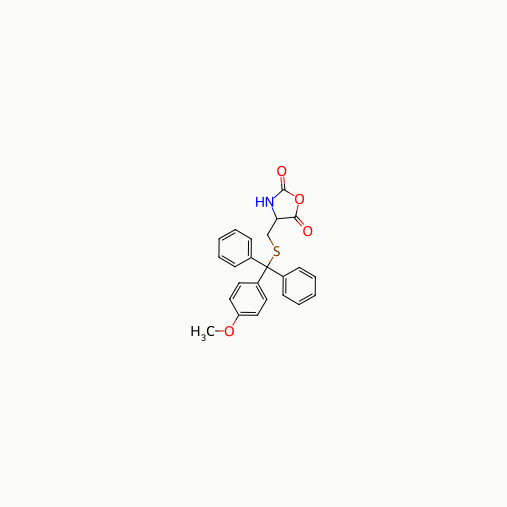 COc1ccc(C(SCC2NC(=O)OC2=O)(c2ccccc2)c2ccccc2)cc1